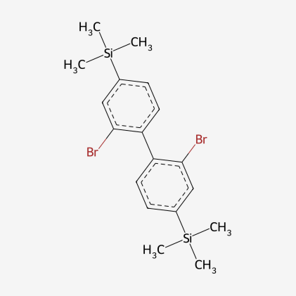 C[Si](C)(C)c1ccc(-c2ccc([Si](C)(C)C)cc2Br)c(Br)c1